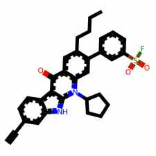 C#Cc1ccc2c(c1)[nH]c1c2c(=O)c2cc(CCCC)c(-c3cccc(S(=O)(=O)F)c3)cc2n1C1CCCC1